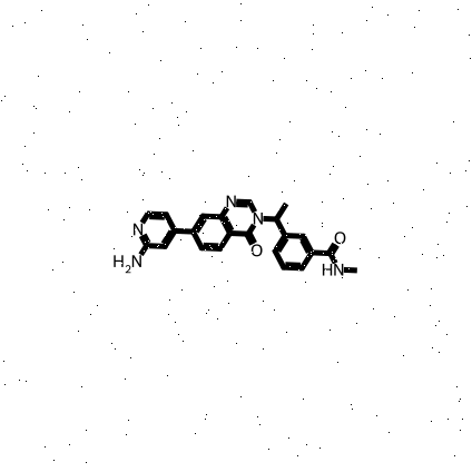 CNC(=O)c1cccc(C(C)n2cnc3cc(-c4ccnc(N)c4)ccc3c2=O)c1